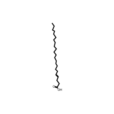 CCCCCCCCCCCCCCCCCCC=CCCC(=O)O